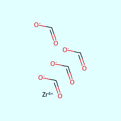 O=C[O-].O=C[O-].O=C[O-].O=C[O-].[Zr+4]